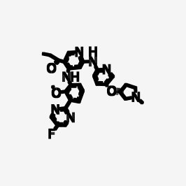 CCC(=O)c1cnc(Nc2ccc(O[C@@H]3CCN(C)C3)cn2)cc1Nc1cccc(-c2ncc(F)cn2)c1OC